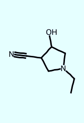 CCN1CC(O)C(C#N)C1